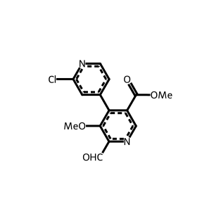 COC(=O)c1cnc(C=O)c(OC)c1-c1ccnc(Cl)c1